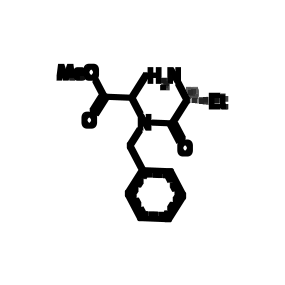 CC[C@@H](N)C(=O)N(Cc1ccccc1)C(C)C(=O)OC